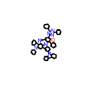 N#Cc1cc(-c2nc(-c3ccccc3)nc(-c3ccccc3)n2)c2oc3ccccc3c2c1-n1c2ccc(-n3c4ccccc4c4ccccc43)cc2c2cc3c(cc21)c1ccccc1n3-c1ccccc1